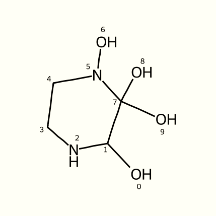 OC1NCCN(O)C1(O)O